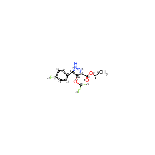 CCOC(=O)c1n[nH]c(-c2ccc(F)cc2)c1OC(F)F